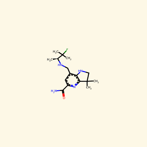 C[C@H](NCc1cc(C(N)=O)nc2c1NCC2(C)C)C(C)(C)F